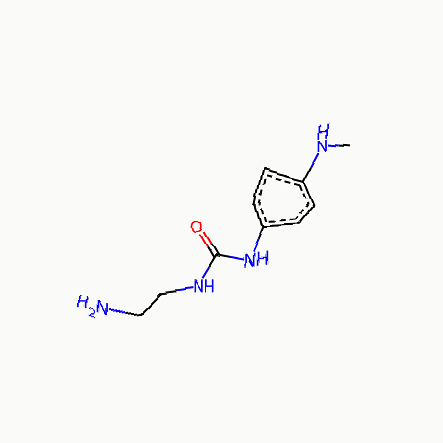 CNc1ccc(NC(=O)NCCN)cc1